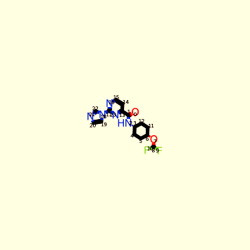 O=C(N[C@H]1CC[C@H](OC(F)F)CC1)c1ccnc(-n2ccnc2)n1